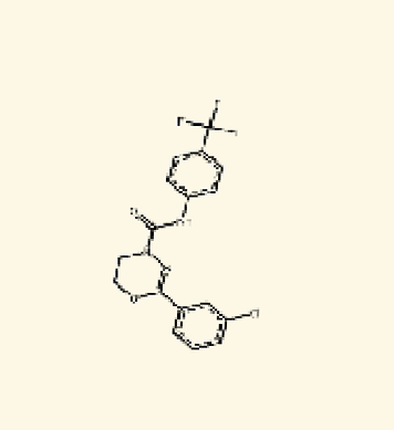 O=C(Nc1ccc(C(F)(F)F)cc1)N1CCOC(c2cccc(Cl)c2)=N1